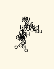 C[C@H](O)Cn1c(-c2cc(OCc3ccccc3)c(OCc3ccccc3)cn2)nn(S(=O)(=O)NC(=O)N2C[C@H](NC(=O)C(=NOC(C)(C)C(=O)OC(C)(C)C)c3csc(NC(=O)OC(C)(C)C)n3)C2=O)c1=O